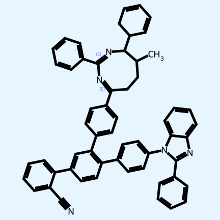 CC1CC/C(c2ccc(-c3cc(-c4ccccc4C#N)ccc3-c3ccc(-n4c(-c5ccccc5)nc5ccccc54)cc3)cc2)=N\C(c2ccccc2)=N/C1C1C=CC=CC1